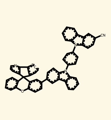 N#Cc1ccc2c(c1)c1ccccc1n2-c1ccc(-n2c3ccccc3c3cc(-c4ccc5c(c4)C4(c6ccccc6O5)c5cccnc5-c5ncccc54)ccc32)cc1